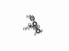 CCCC(=O)Nc1cc(N2CCNCC2)ccc1S(=O)(=O)c1cc(F)cc(F)c1